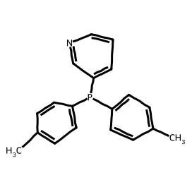 Cc1ccc(P(c2ccc(C)cc2)c2cccnc2)cc1